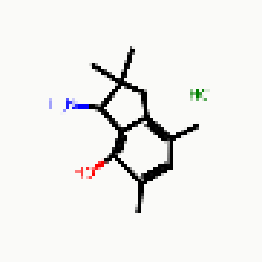 Cc1cc(C)c2c(c1O)C(N)C(C)(C)C2.Cl